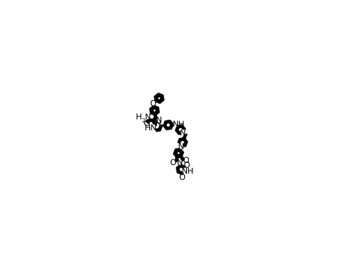 NC(=O)c1c(-c2ccc(Oc3ccccc3)cc2)nn2c1NCC[C@H]2C1CCC(NC2CCN(CC3CCN(c4ccc5c(c4)C(=O)N(C4CCC(=O)NC4=O)C5=O)CC3)CC2)CC1